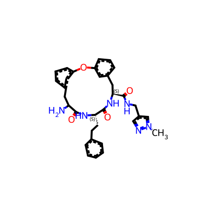 Cn1cc(CNC(=O)[C@@H]2Cc3cccc(c3)Oc3cccc(c3)CC(N)C(=O)N[C@@H](CCc3ccccc3)C(=O)N2)cn1